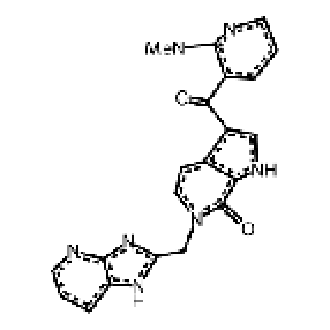 CNc1ncccc1C(=O)c1c[nH]c2c(=O)n(Cc3nc4ncccc4[nH]3)ccc12